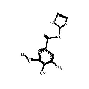 CCOc1nc(C(=O)NC2NC=CS2)cc(N)c1C#N